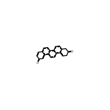 O=C1C=Cc2ccc3c(ccc4c5c(ccc43)CC(=O)CC=5)c2=C1